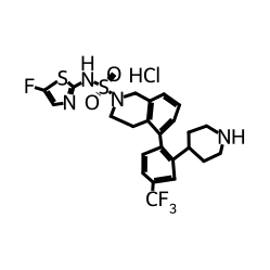 Cl.O=S(=O)(Nc1ncc(F)s1)N1CCc2c(cccc2-c2ccc(C(F)(F)F)cc2C2CCNCC2)C1